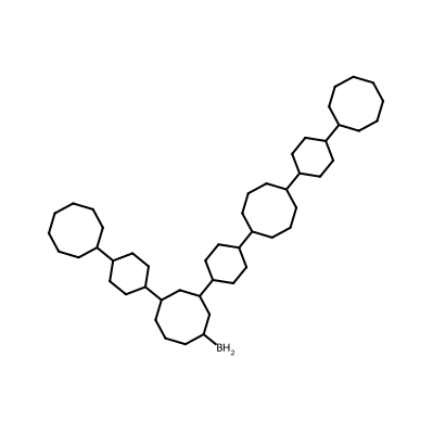 BC1CCCC(C2CCC(C3CCCCCCC3)CC2)CC(C2CCC(C3CCCC(C4CCC(C5CCCCCCC5)CC4)CCC3)CC2)C1